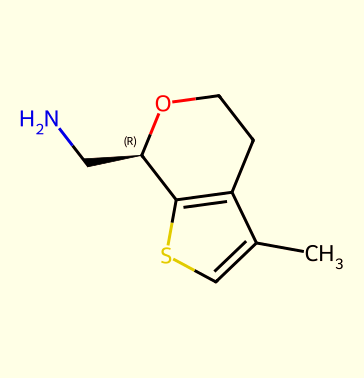 Cc1csc2c1CCO[C@@H]2CN